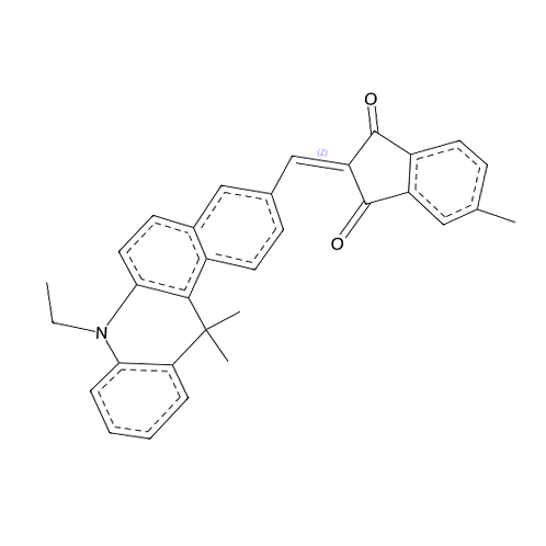 CCN1c2ccccc2C(C)(C)c2c1ccc1cc(/C=C3/C(=O)c4ccc(C)cc4C3=O)ccc21